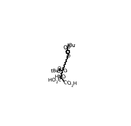 CC(C)(C)OC(=O)c1ccc(OCCCCCCCCCC(=O)C(CCC(=O)N[C@@H](CCC(=O)O)C(=O)O)C(=O)OC(C)(C)C)cc1